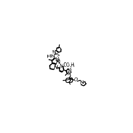 Cc1ccc2sc(Nc3nnc4c(c3C)CCCN4c3ccc(-c4cnn(CC56CC7(C)CC(C)(C5)CC(OCCN5CCCC5)(C7)C6)c4C)c(C(=O)O)n3)nc2c1